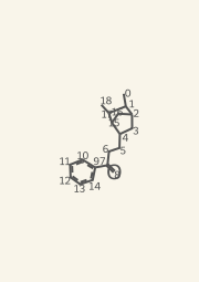 CC1C2CC(CCC(=O)c3ccccc3)C(C2)C1C